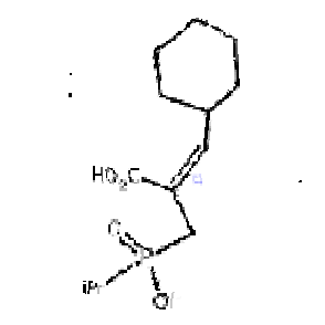 CC(C)P(=O)(O)C/C(=C/C1CCCCC1)C(=O)O